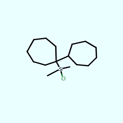 C[Si](C)(Cl)C1(C2CCCCCC2)CCCCCC1